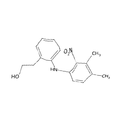 Cc1ccc(Nc2ccccc2CCO)c([N+](=O)[O-])c1C